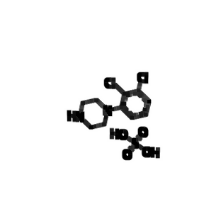 Clc1cccc(N2CCNCC2)c1Cl.O=S(=O)(O)O